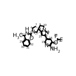 CC(NC(=O)N1CC[C@@]2(CCn3nc(-c4cnc(N)c(OC(F)F)c4)cc32)C1)c1ccccc1